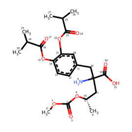 COC(=O)O[C@@H](C)CC(N)(Cc1ccc(OC(=O)C(C)C)c(OC(=O)C(C)C)c1)C(=O)O